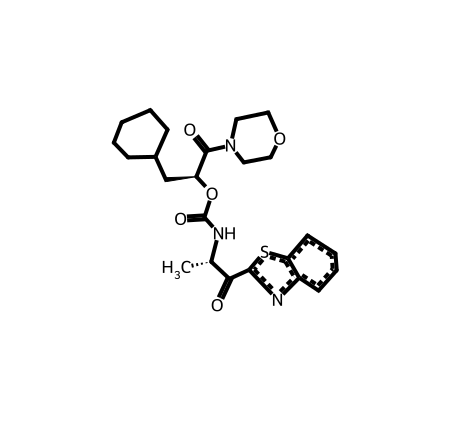 C[C@H](NC(=O)O[C@@H](CC1CCCCC1)C(=O)N1CCOCC1)C(=O)c1nc2ccccc2s1